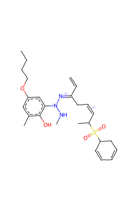 C=C/C(C/C=C\C(C)S(=O)(=O)C1C=CC=CC1)=N/N(NC)c1cc(OCCCC)cc(C)c1O